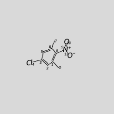 Cc1cc(Cl)cc(C)c1[N+](=O)[O-]